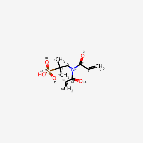 C=CC(=O)N(CC(C)(C)S(=O)(=O)O)C(=O)C=C